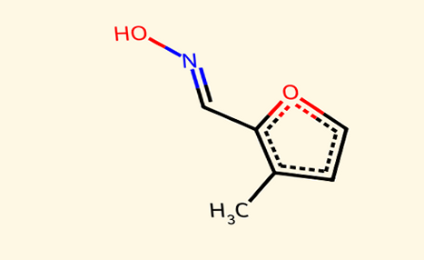 Cc1ccoc1C=NO